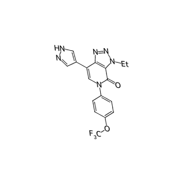 CCn1nnc2c(-c3cn[nH]c3)cn(-c3ccc(OC(F)(F)F)cc3)c(=O)c21